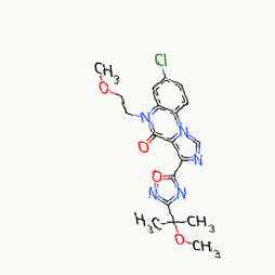 COCCn1c(=O)c2c(-c3nc(C(C)(C)OC)no3)ncn2c2ccc(Cl)cc21